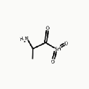 CC(N)C(=O)[SH](=O)=O